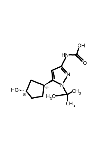 CC(C)(C)n1nc(NC(=O)O)cc1[C@H]1CC[C@H](O)C1